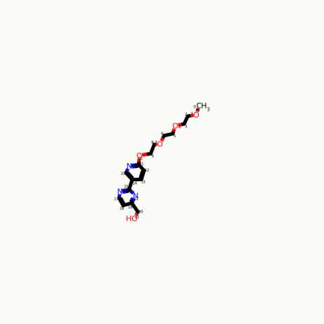 COCCOCCOCCOc1ccc(-c2nccc(CO)n2)cn1